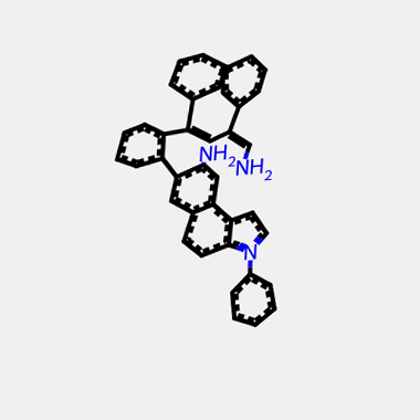 N/C=C(\C=C(c1ccccc1)c1ccccc1-c1cc2ccc3c(ccn3-c3ccccc3)c2cc1N)c1ccccc1